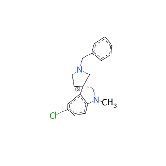 CN1C[C@@]2(CCN(Cc3ccccc3)C2)c2cc(Cl)ccc21